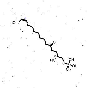 CCCCCCCC/C=C\CCCCCCCC(=O)CC[C@@H](O)COP(=O)(O)O